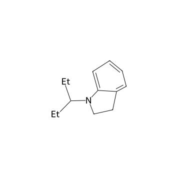 CCC(CC)N1CCc2ccccc21